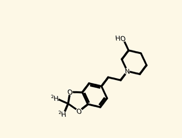 [2H]C1([2H])Oc2ccc(CCN3CCCC(O)C3)cc2O1